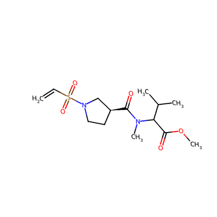 C=CS(=O)(=O)N1CC[C@H](C(=O)N(C)C(C(=O)OC)C(C)C)C1